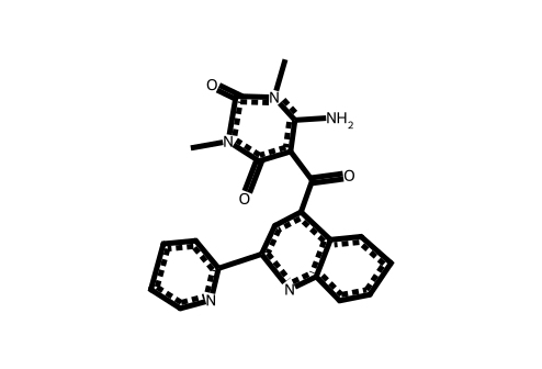 Cn1c(N)c(C(=O)c2cc(-c3ccccn3)nc3ccccc23)c(=O)n(C)c1=O